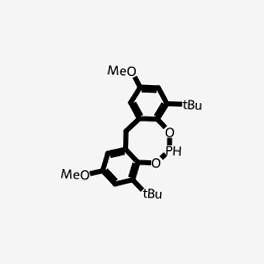 COc1cc2c(c(C(C)(C)C)c1)OPOc1c(cc(OC)cc1C(C)(C)C)C2